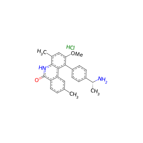 COc1cc(C)c2[nH]c(=O)c3ccc(C)cc3c2c1-c1ccc([C@@H](C)N)cc1.Cl